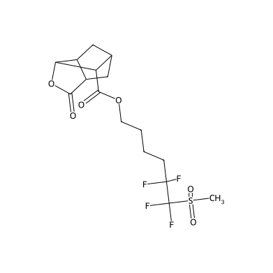 CS(=O)(=O)C(F)(F)C(F)(F)CCCCOC(=O)C1C2CC3C(=O)OC1C3C2